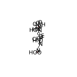 COC(=O)N[C@H](C(=O)N1C[C@@H](C)C[C@H]1c1nc(-c2ccc(-c3cc(Cl)c(NC(=O)c4ccc(CCC5CCN(C(=O)C(C)(C)CO)C[C@H]5C)nc4)cc3OC(F)(F)F)cc2)c(CO)[nH]1)C1CCOCC1